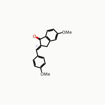 COc1ccc(/C=C2\Cc3cc(OC)ccc3C2=O)cc1